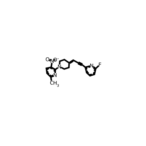 Cc1ccc([N+](=O)[O-])c(N2CCC(=CC#Cc3cccc(F)n3)CC2)n1